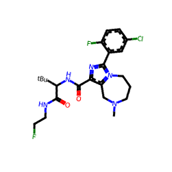 CN1CCCn2c(-c3cc(Cl)ccc3F)nc(C(=O)NC(C(=O)NCCF)C(C)(C)C)c2C1